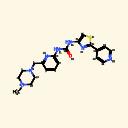 CN1CCN(Cc2cccc(NC(=O)Nc3csc(-c4ccncc4)n3)n2)CC1